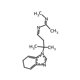 C/N=C(C)\N=C/CC(C)(C)n1cnc2c1=CCCC=2